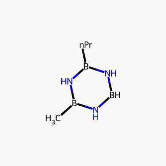 CCCB1NBNB(C)N1